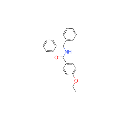 CCOc1ccc(C(=O)NC(c2ccccc2)c2ccccc2)cc1